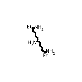 CCC(N)CCCCC(N)CCCCC(N)CC